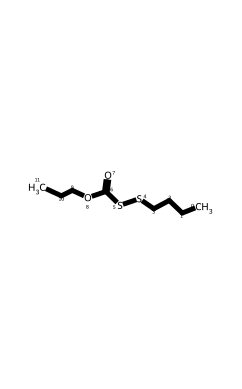 CCCCSSC(=O)OCCC